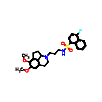 COc1cc2c3c(c1OC)CCC3N(CCCNS(=O)(=O)c1ccc(F)c3ccccc13)CC2